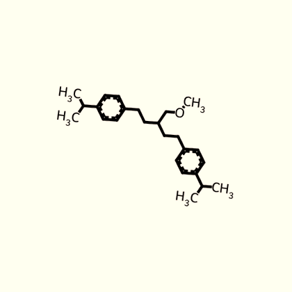 COCC(CCc1ccc(C(C)C)cc1)CCc1ccc(C(C)C)cc1